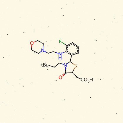 CC(C)(C)CCN1C(=O)[C@H](CC(=O)O)SC1c1cccc(F)c1NCCN1CCOCC1